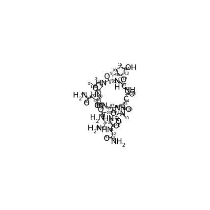 CC[C@H](C)[C@@H]1NC(=O)[C@H](Cc2ccc(O)cc2)NC(=O)CNC(=O)CC[C@@H](C(=O)N(C)CC(=O)N[C@@H](CCN)C(=O)NCC(N)=O)NC(=O)[C@H](CC(N)=O)NC(=O)[C@H](CCC(N)=O)NC1=O